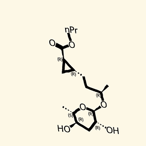 CCCOC(=O)[C@@H]1C[C@H]1CC[C@@H](C)O[C@@H]1O[C@@H](C)[C@H](O)C[C@H]1O